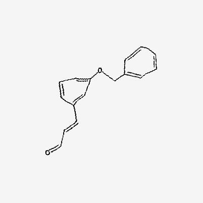 O=CC=Cc1cccc(OCc2ccccc2)c1